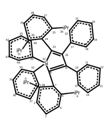 CC(C)c1cccc(C(C)C)c1C1=C(c2ccccc2)C(c2ccccc2)=C(c2c(C(C)C)cccc2C(C)C)[Si]1(c1ccccc1)c1ccccc1